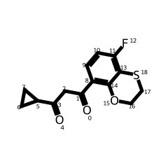 O=C(CC(=O)C1CC1)c1ccc(F)c2c1OCCS2